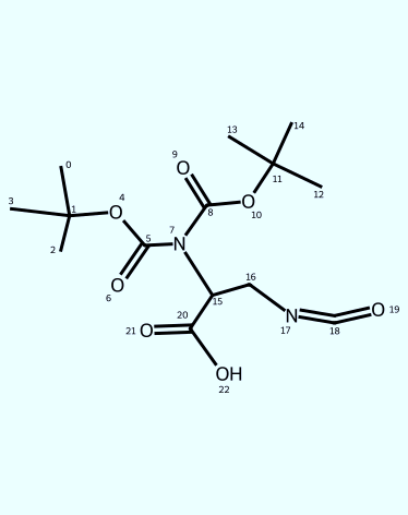 CC(C)(C)OC(=O)N(C(=O)OC(C)(C)C)C(CN=C=O)C(=O)O